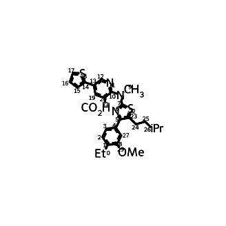 CCc1ccc(-c2nc(N(C)c3ncc(-c4cccs4)cc3C(=O)O)sc2CCC(C)C)cc1OC